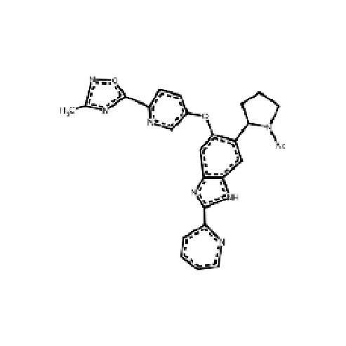 CC(=O)N1CCCC1c1cc2[nH]c(-c3ccccn3)nc2cc1Oc1ccc(-c2nc(C)no2)nc1